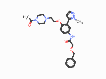 CC(=O)N1CCN(CCOc2ccc(NC(=O)COCc3ccccc3)cc2-c2ccnn2C)CC1